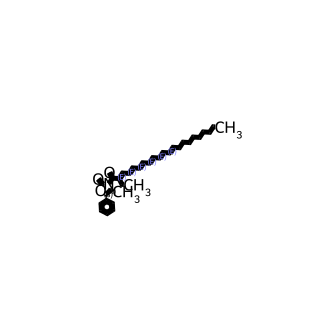 CCCCCCCCC/C=C/C=C/C=C/C=C/C=C/C=C(\CC)C(=O)N1C(=O)O[C@@H](c2ccccc2)[C@H]1C